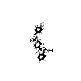 O=C(Nc1ccccc1O)C1CCN(C(=O)COc2ccc(F)cc2)CC1